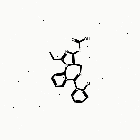 CCc1nc(OC(=O)O)c2n1-c1ccccc1C(c1ccccc1Cl)=NC2